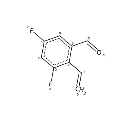 C=Cc1c(F)cc(F)cc1C=O